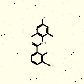 Cc1cc(Br)cc(C)c1NC(=O)c1cccc([N+](=O)[O-])c1F